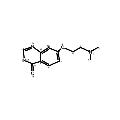 CN(C)CCOc1ccc2c(=O)[nH]cnc2c1